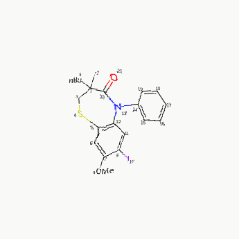 CCCCC1(C)CSc2cc(OC)c(I)cc2N(c2ccccc2)C1=O